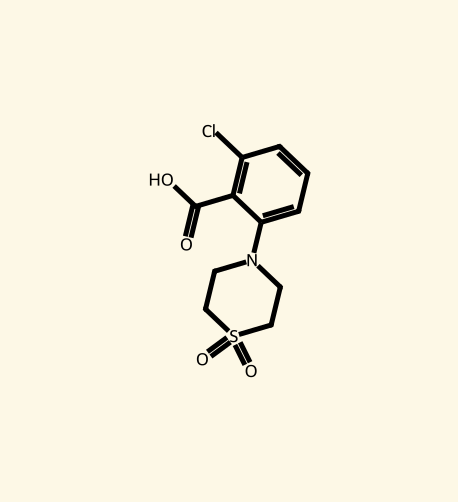 O=C(O)c1c(Cl)cccc1N1CCS(=O)(=O)CC1